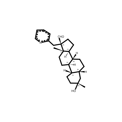 C[C@@]1(O)CC[C@H]2[C@H](CC[C@@H]3[C@@H]2CC[C@@]2(C)[C@H]3CC[C@@]2(C=O)Cc2ccccn2)C1